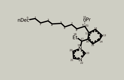 CCCCCCCCCCCCCCCCCC[C@H](CCC)c1ccccc1C(CC)n1ccnc1